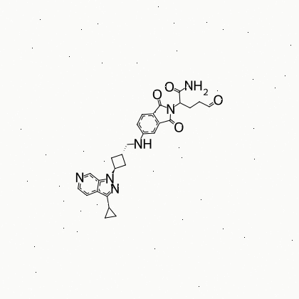 NC(=O)C(CCC=O)N1C(=O)c2ccc(NC[C@H]3C[C@H](n4nc(C5CC5)c5ccncc54)C3)cc2C1=O